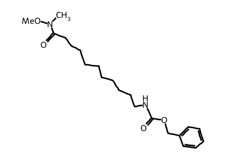 CON(C)C(=O)CCCCCCCCCCNC(=O)OCc1ccccc1